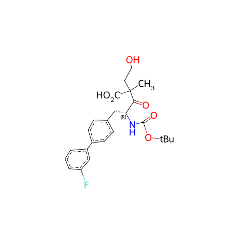 CC(C)(C)OC(=O)N[C@H](Cc1ccc(-c2cccc(F)c2)cc1)C(=O)C(C)(CCO)C(=O)O